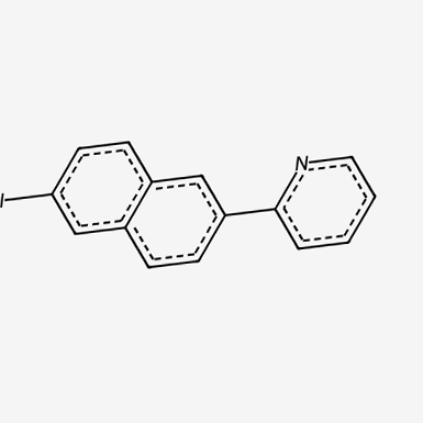 Ic1ccc2cc(-c3ccccn3)ccc2c1